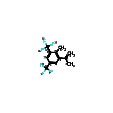 C=C(C)c1cc(C(F)(F)F)cc(C(F)(F)F)c1C